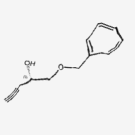 C#C[C@H](O)COCc1ccccc1